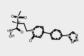 C[C@@](CCn1ccc(-c2ccc(-n3cnnn3)cc2)cc1=O)(C(=O)NO)S(C)(=O)=O